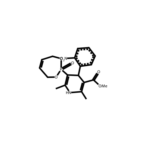 COC(=O)C1=C(C)NC(C)=C(P2(=O)OCC=CCO2)C1c1ccccc1[N+](=O)[O-]